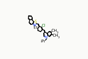 CC[n+]1c(/C=C2\CCCC(/C=C3\C=CN(CC(C)C)c4cc(C)c(C)cc43)=C2Cl)sc2c3ccccc3ccc21